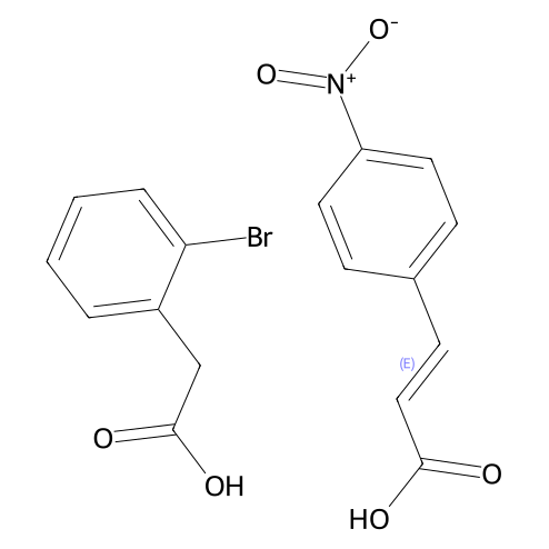 O=C(O)/C=C/c1ccc([N+](=O)[O-])cc1.O=C(O)Cc1ccccc1Br